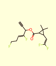 C#CC(OC(=O)C1C(C=C(F)F)C1(C)C)/C(F)=C/CCF